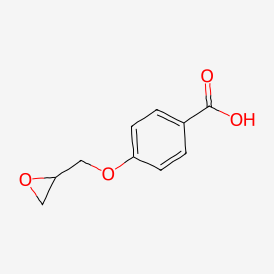 O=C(O)c1ccc(OCC2CO2)cc1